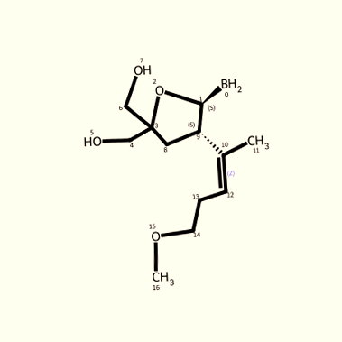 B[C@@H]1OC(CO)(CO)C[C@H]1/C(C)=C\CCOC